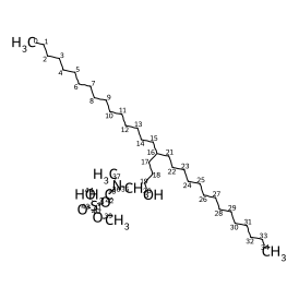 CCCCCCCCCCCCCCCCC(CCCO)CCCCCCCCCCCCCC.CN(C)C.COS(=O)(=O)O